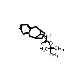 CC(C)(C)OC(=O)NC1C2CCC1Cc1cc[c]cc1C2